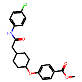 COC(=O)c1ccc(OC2CCC(CC(=O)Nc3ccc(Cl)cc3)CC2)cc1